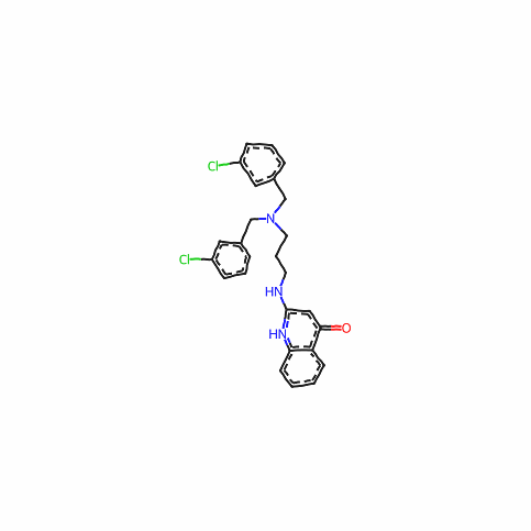 O=c1cc(NCCCN(Cc2cccc(Cl)c2)Cc2cccc(Cl)c2)[nH]c2ccccc12